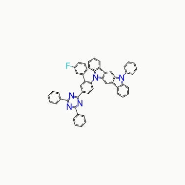 Fc1cccc(-c2cc(-c3nc(-c4ccccc4)nc(-c4ccccc4)n3)ccc2-n2c3ccccc3c3cc4c(cc32)c2ccccc2n4-c2ccccc2)c1